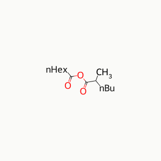 CCCCCCC(=O)OC(=O)C(C)CCCC